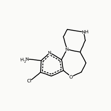 Nc1nc2c(cc1Cl)OCCC1CNCCN21